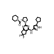 O=C([C@@H]1CCCN1c1nc2c(c(Nc3cc(C4CCCC4)[nH]n3)n1)CC(F)(F)C2)N1CCCCC1